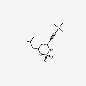 CC(C)CC1CC(C#C[Si](C)(C)C)NS(=O)(=O)O1